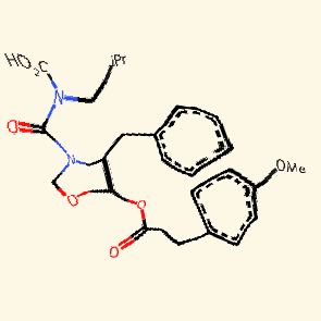 COc1ccc(CC(=O)OC2OCN(C(=O)N(CC(C)C)C(=O)O)C2Cc2ccccc2)cc1